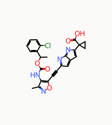 Cc1noc(C#CC2=NC3=NC(C4(C(=O)O)CC4)=CC3=C2)c1NC(=O)OC(C)c1ccccc1Cl